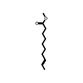 CC=CCCCCCCC(=O)OC